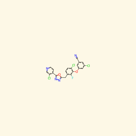 N#Cc1cc(Cl)cc(Oc2c(Cl)ccc(Cc3nnc(-c4ccncc4Cl)o3)c2F)c1